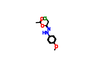 COc1ccc(NN=C(CCl)OC(C)=O)cc1